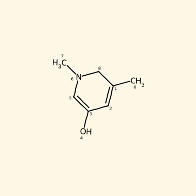 CC1=CC(O)=CN(C)C1